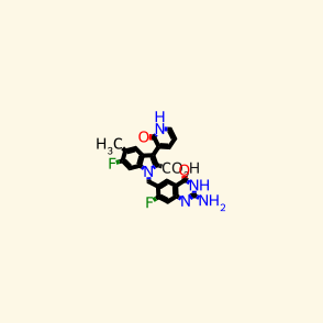 Cc1cc2c(-c3ccc[nH]c3=O)c(C(=O)O)n(Cc3cc4c(=O)[nH]c(N)nc4cc3F)c2cc1F